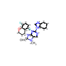 CN1c2cnc(-n3cnc4ccccc43)nc2N([C@@H]2CCOc3c(F)ccc(F)c32)C1C=O